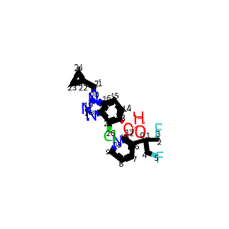 OC(CF)(CF)c1cccnc1Oc1ccc2c(nnn2CC2CC2)c1Cl